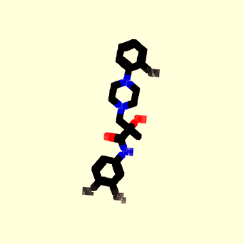 CC(O)(CN1CCN(c2ccccc2C#N)CC1)C(=O)Nc1ccc(C#N)c(C(F)(F)F)c1